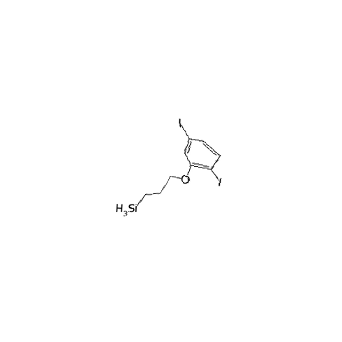 [SiH3]CCCOc1cc(I)ccc1I